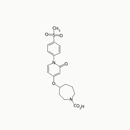 CS(=O)(=O)c1ccc(-n2ccc(OC3CCCN(C(=O)O)CC3)cc2=O)cc1